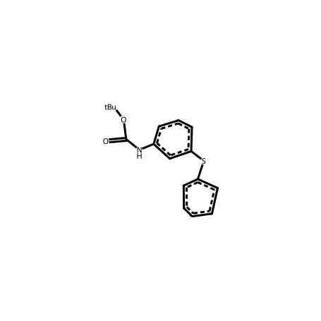 CC(C)(C)OC(=O)Nc1cccc(Sc2cc[c]cc2)c1